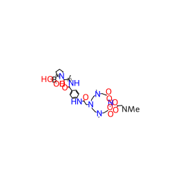 CNCC(=O)ON1OC(=O)CN(C)CCN(CC(=O)Nc2ccc(C(=O)N[C@H](C)C(=O)N3CCC[C@H]3B(O)O)cc2)CCN(C)CC(=O)O1